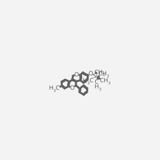 Cc1ccc2c(c1)OC(c1ccccc1)C1=C2COc2cc(O[Si](C)(C)C(C)(C)C)ccc21